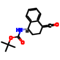 CC(C)(C)OC(=O)N[C@H]1CCC(=C=O)c2ccccc21